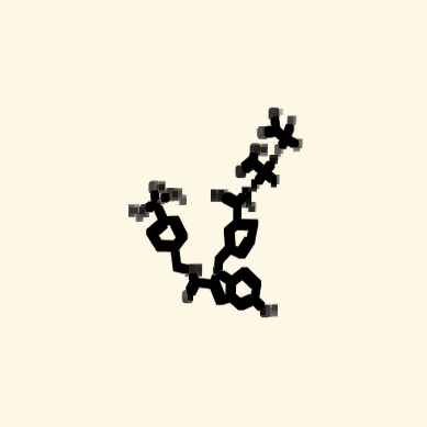 C[N+](C)(C)c1ccc(CNC(=O)c2cc3cc(O)ccc3n2Cc2cccc(C(=N)N)c2)cc1.O=C(O)C(F)(F)F.O=C([O-])C(F)(F)F